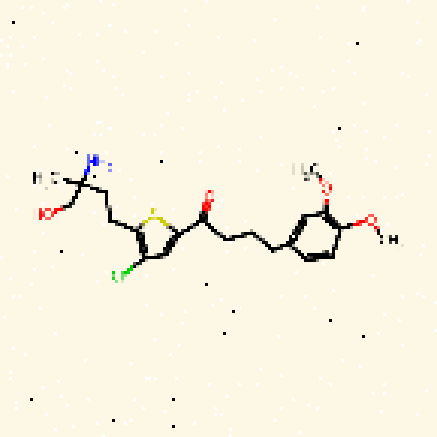 COc1ccc(CCCC(=O)c2cc(Cl)c(CCC(C)(N)CO)s2)cc1OC